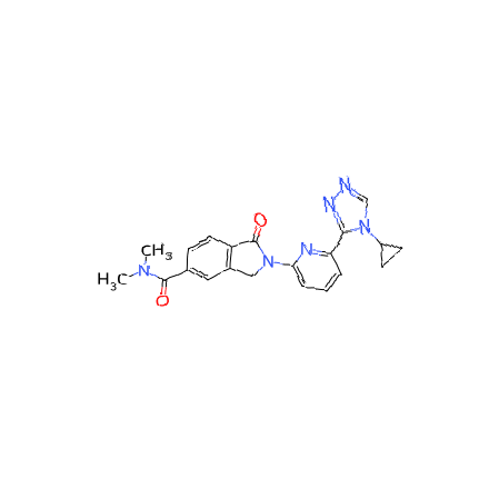 CN(C)C(=O)c1ccc2c(c1)CN(c1cccc(-c3nncn3C3CC3)n1)C2=O